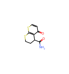 NC(=O)C1CCSc2sccc(=O)c21